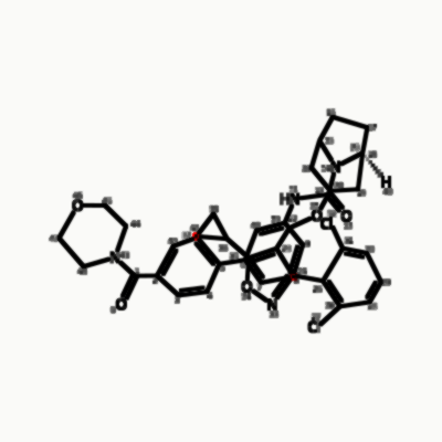 O=C(c1ccc(-c2cccc(NC(=O)N3C4CC[C@H]3CC(OCc3c(-c5c(Cl)cccc5Cl)noc3C3CC3)C4)c2)cc1)N1CCOCC1